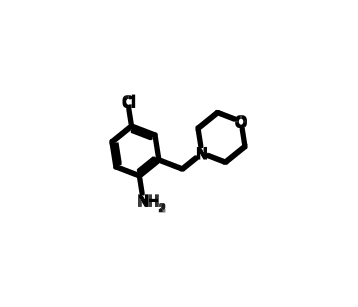 Nc1ccc(Cl)cc1CN1CCOCC1